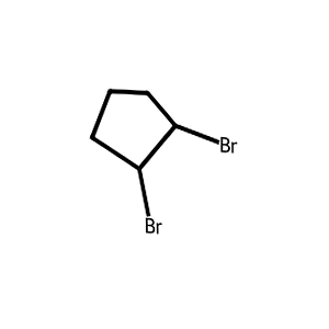 BrC1CCCC1Br